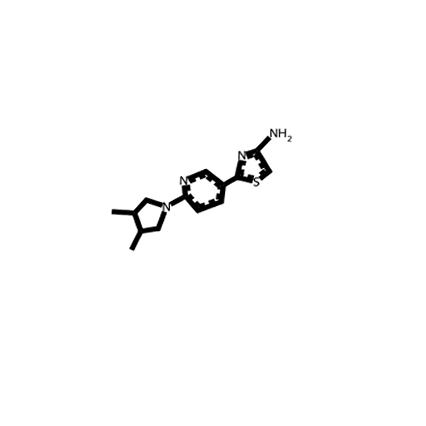 CC1CN(c2ccc(-c3nc(N)cs3)cn2)CC1C